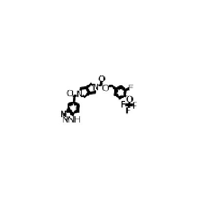 O=C(OCc1ccc(OC(F)(F)F)c(F)c1)N1CC2CN(C(=O)c3ccc4[nH]nnc4c3)CC2C1